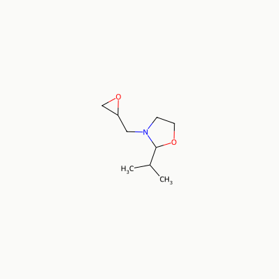 CC(C)C1OCCN1CC1CO1